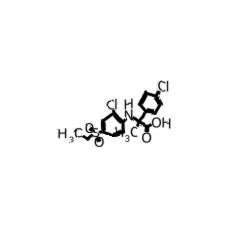 CCS(=O)(=O)c1ccc(NC(C)(C(=O)O)c2ccc(Cl)cc2)c(Cl)c1